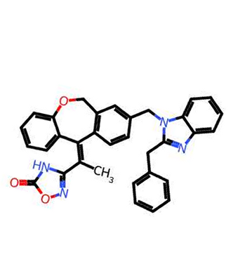 CC(=C1c2ccc(Cn3c(Cc4ccccc4)nc4ccccc43)cc2COc2ccccc21)c1noc(=O)[nH]1